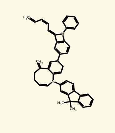 C=C/C=C\C=C1\c2cc(C3C=C4C(=C)CC/C=C\N(c5ccc6c(c5)C(C)(C)c5ccccc5-6)C4=CC3)ccc2N1c1ccccc1